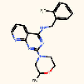 N#CC1CN(c2nc(NCc3ccccc3C(F)(F)F)c3cccnc3n2)CCO1